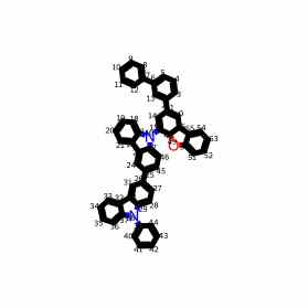 C1=C(c2cccc(-c3ccccc3)c2)C=C(n2c3ccccc3c3cc(-c4ccc5c(c4)c4ccccc4n5-c4ccccc4)ccc32)C2Oc3ccccc3C12